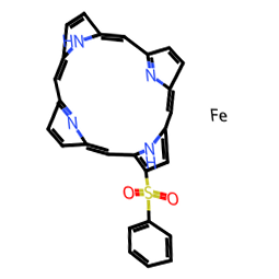 O=S(=O)(c1ccccc1)c1cc2cc3nc(cc4ccc(cc5nc(cc1[nH]2)C=C5)[nH]4)C=C3.[Fe]